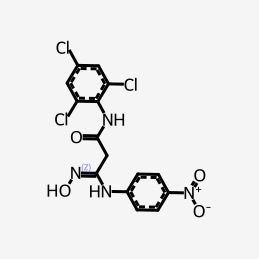 O=C(C/C(=N/O)Nc1ccc([N+](=O)[O-])cc1)Nc1c(Cl)cc(Cl)cc1Cl